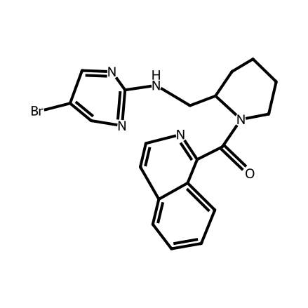 O=C(c1nccc2ccccc12)N1CCCCC1CNc1ncc(Br)cn1